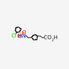 O=C(O)CCc1ccc(CCNS(=O)(=O)c2ccccc2Cl)cc1